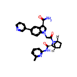 Cc1cccc(NC(=O)[C@@H]2[C@H]3CC[C@H](C3)N2C(=O)Cn2cc(C(N)=O)c3cc(-c4cccnc4)ccc32)n1